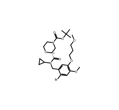 COCCCOc1cc(CN(C(=O)[C@H]2CN(C(=O)OC(C)(C)C)CCO2)C2CC2)c(Br)cc1OC